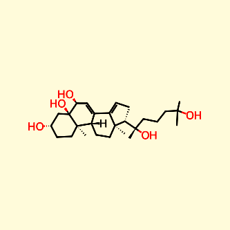 CC(C)(O)CCC[C@](C)(O)[C@H]1CC=C2C3=C[C@H](O)[C@@]4(O)C[C@@H](O)CC[C@]4(C)[C@H]3CC[C@@]21C